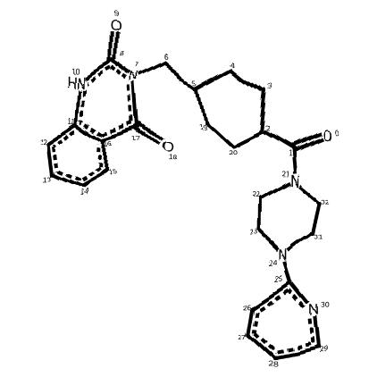 O=C(C1CCC(Cn2c(=O)[nH]c3ccccc3c2=O)CC1)N1CCN(c2ccccn2)CC1